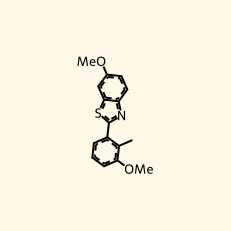 COc1ccc2nc(-c3cccc(OC)c3C)sc2c1